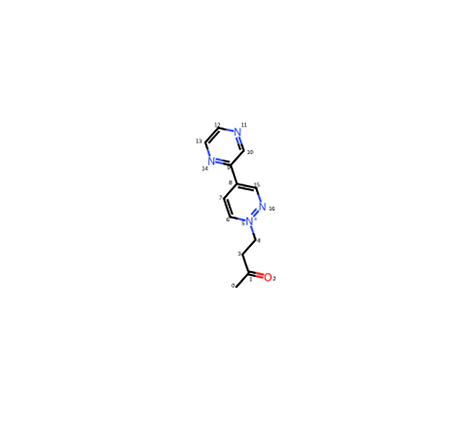 CC(=O)CC[n+]1ccc(-c2cnccn2)cn1